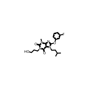 CC(C)CCn1c(Oc2cccc(F)c2)nc2c1c(=O)n(CCCO)c(=O)n2C